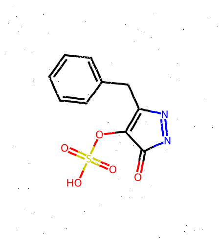 O=C1N=NC(Cc2ccccc2)=C1OS(=O)(=O)O